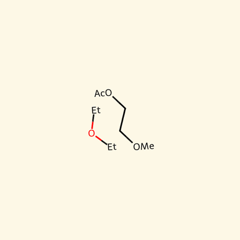 CCOCC.COCCOC(C)=O